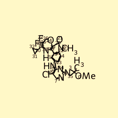 COC1(C)CN(c2ncc(Cl)c(Nc3ccc4c(c3)c3c(c(=O)n4C)OCC(F)(F)[C@H](C4CC4)N3)n2)C1